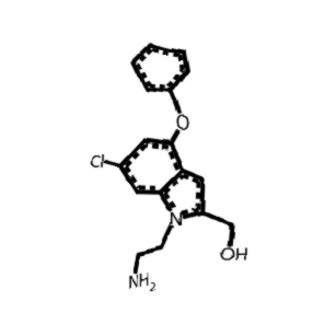 NCCn1c(CO)cc2c(Oc3ccccc3)cc(Cl)cc21